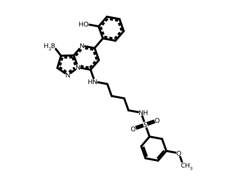 Bc1cnn2c(NCCCCNS(=O)(=O)C3C=CC=C(OC)C3)cc(-c3ccccc3O)nc12